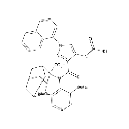 CCC(=O)Nc1cn(-c2cccc3ccccc23)nc1C(=O)N(c1c(OC)cccc1OC)C1(C(=O)O)C2CC3CC(C2)CC1C3